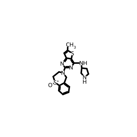 Cc1cc2nc(N3CC[S+]([O-])c4ccccc4C3)nc(NC3CCNC3)c2s1